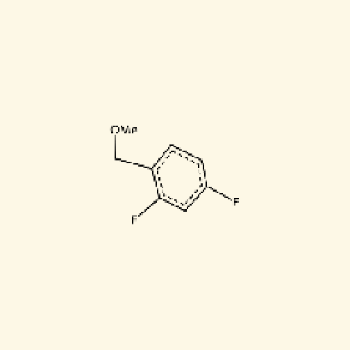 [CH2]OCc1ccc(F)cc1F